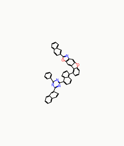 c1ccc(-c2nc(-c3ccc4ccccc4c3)nc(-c3cccc4c(-c5cccc6oc7cc8nc(-c9ccc%10ccccc%10c9)oc8cc7c56)cccc34)n2)cc1